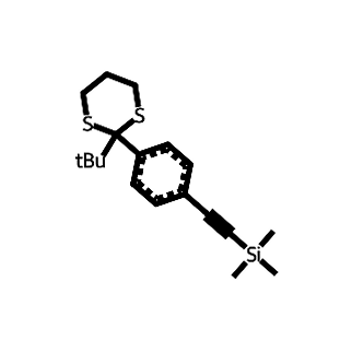 CC(C)(C)C1(c2ccc(C#C[Si](C)(C)C)cc2)SCCCS1